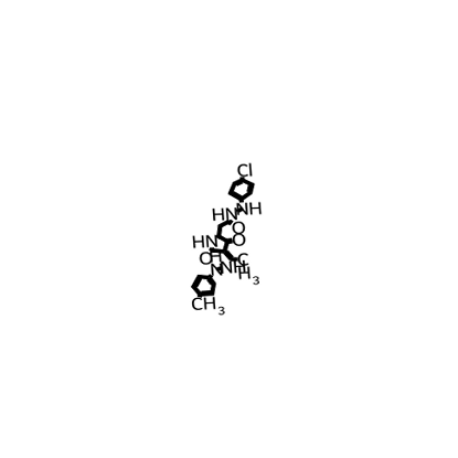 CC(NNc1ccc(C)cc1)=C1C(=O)NC(CC(=O)NNc2ccc(Cl)cc2)C1=O